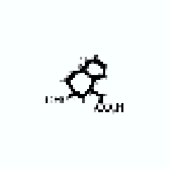 O=CC1=CC(CC(=O)O)c2ccccc2C=C1